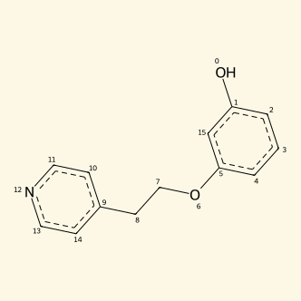 Oc1cccc(OCCc2ccncc2)c1